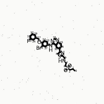 CCCS(=O)(=O)CCNCc1nc(-c2ccc3ncnc(Nc4ccc(OCc5cccc(F)c5)c(Br)c4)c3c2)cs1